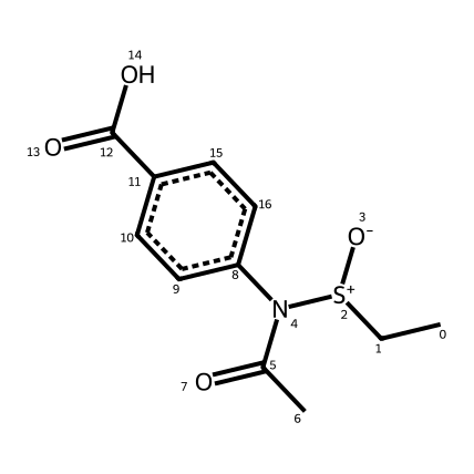 CC[S+]([O-])N(C(C)=O)c1ccc(C(=O)O)cc1